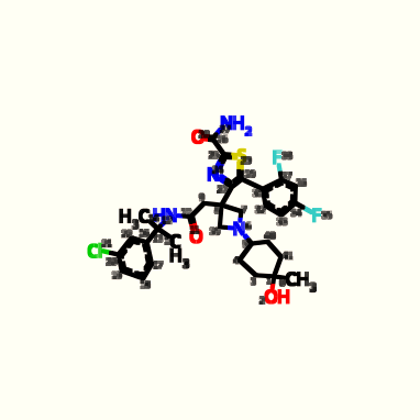 CC1(O)CCC(N2CC(CC(=O)NC(C)(C)c3cccc(Cl)c3)(c3nc(C(N)=O)sc3-c3ccc(F)cc3F)C2)CC1